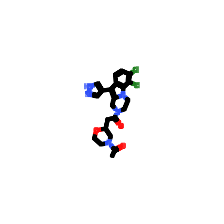 CC(=O)N1CCOC(CC(=O)N2CCn3c(c(-c4cn[nH]c4)c4ccc(Cl)c(Cl)c43)C2)C1